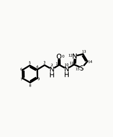 O=C(NCc1ccccc1)Nc1nccs1